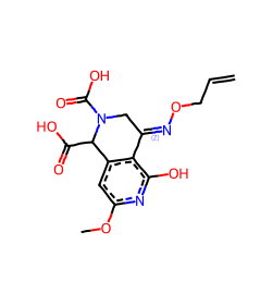 C=CCO/N=C1\CN(C(=O)O)C(C(=O)O)c2cc(OC)nc(O)c21